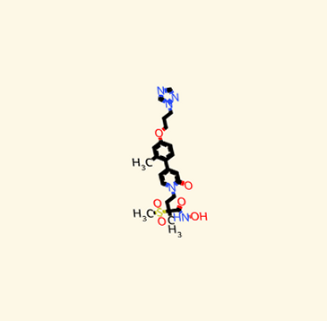 Cc1cc(OCCCn2cncn2)ccc1-c1ccn(CCC(C)(C(=O)NO)S(C)(=O)=O)c(=O)c1